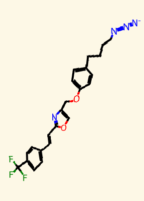 [N-]=[N+]=NCCCCc1ccc(OCc2coc(/C=C/c3ccc(C(F)(F)F)cc3)n2)cc1